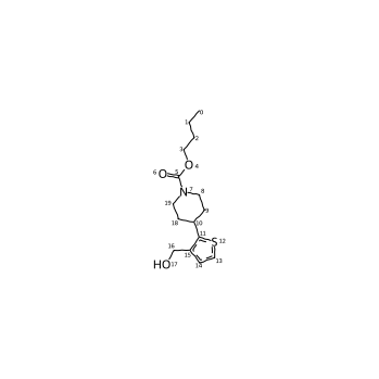 CCCCOC(=O)N1CCC(c2sccc2CO)CC1